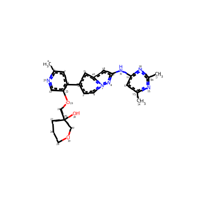 Cc1cc(-c2ccn3nc(Nc4cc(C)nc(C)n4)cc3c2)c(OCC2(O)CCCOC2)cn1